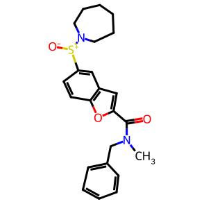 CN(Cc1ccccc1)C(=O)c1cc2cc([S+]([O-])N3CCCCCC3)ccc2o1